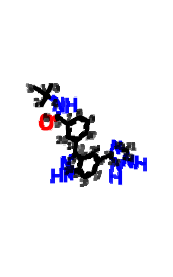 CC(C)(C)NC(=O)c1cccc(-c2n[nH]c3ccc(C4N=CNN4)cc23)c1